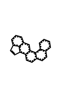 C1=Cc2c3ccc4ccc5ccccc5c4c3cc3cccc1c23